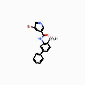 O=C(Nc1cc(-c2ccccc2)ccc1C(=O)O)c1cncc(Br)c1